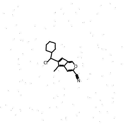 Cc1c2cc(C#N)occ-2cc1C(Cl)C1CCCCC1